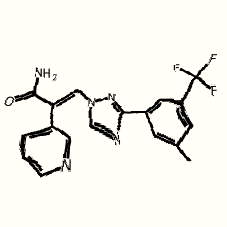 Cc1cc(-c2ncn(/C=C(/C(N)=O)c3cccnc3)n2)cc(C(F)(F)F)c1